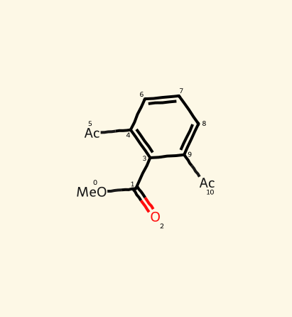 COC(=O)c1c(C(C)=O)cccc1C(C)=O